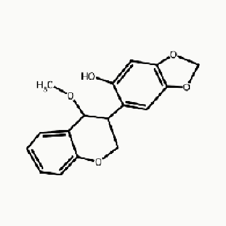 COC1c2ccccc2OCC1c1cc2c(cc1O)OCO2